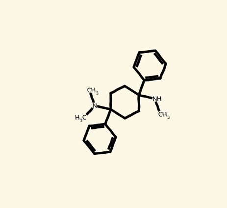 CNC1(c2ccccc2)CCC(c2ccccc2)(N(C)C)CC1